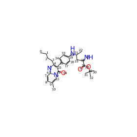 CCCCc1nc2ccc(C)cn2c(=O)c1-c1ccc(NC(C)CC(=N)C(=O)OC(C)(C)C)cc1